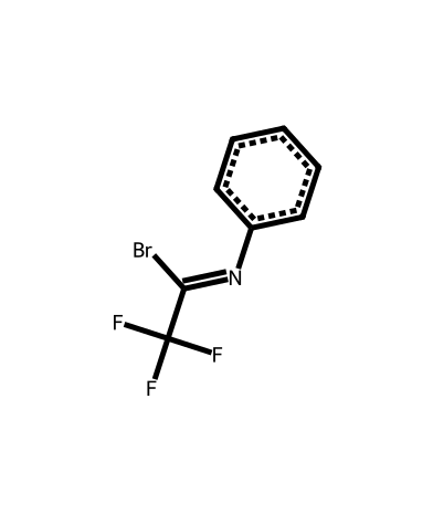 FC(F)(F)C(Br)=Nc1ccccc1